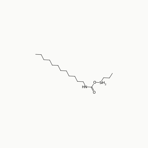 CCCCCCCCCCCCNC(=O)O[SiH2]CCC